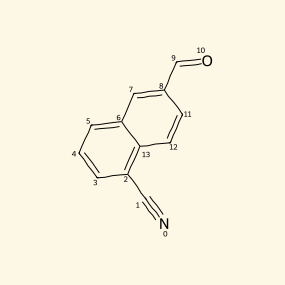 N#Cc1cccc2cc(C=O)ccc12